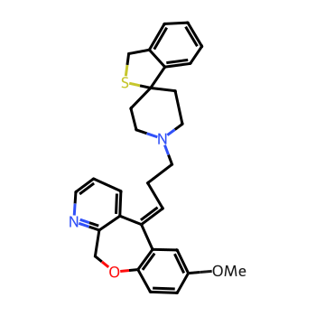 COc1ccc2c(c1)/C(=C/CCN1CCC3(CC1)SCc1ccccc13)c1cccnc1CO2